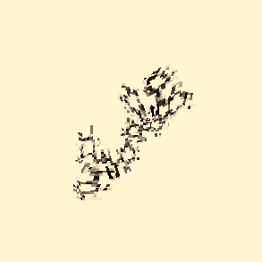 c1ccc(-c2nc(-c3ccccc3)nc(-c3cccc(-c4ccc5c(c4)c4ccc6c7ccccc7c(-c7ccccc7)nc6c4n5-c4ccccc4)c3)n2)cc1